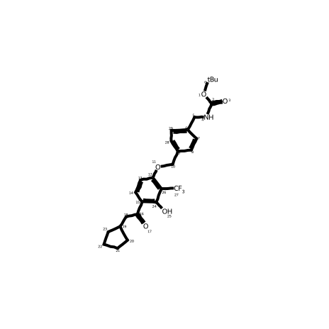 CC(C)(C)OC(=O)NCc1ccc(COc2ccc(C(=O)CC3CCCC3)c(O)c2C(F)(F)F)cc1